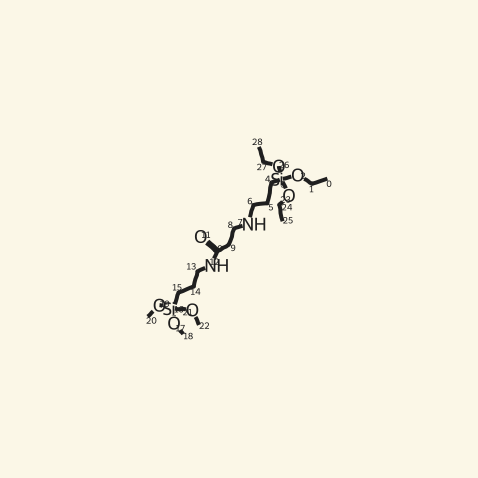 CCO[Si](CCCNCCC(=O)NCCC[Si](OC)(OC)OC)(OCC)OCC